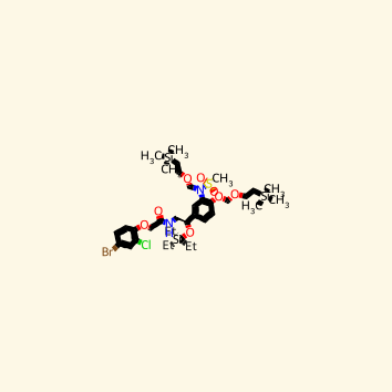 CC[Si](CC)(CC)O[C@@H](CNC(=O)COc1ccc(Br)cc1Cl)c1ccc(OCOCC[Si](C)(C)C)c(N(COCC[Si](C)(C)C)S(C)(=O)=O)c1